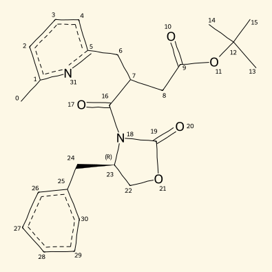 Cc1cccc(CC(CC(=O)OC(C)(C)C)C(=O)N2C(=O)OC[C@H]2Cc2ccccc2)n1